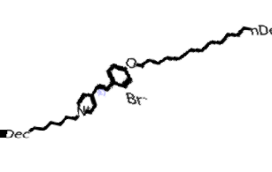 CCCCCCCCCCCCCCCCCCCCCCOc1ccc(/C=C/c2cc[n+](CCCCCCCCCCCCCCCC)cc2)cc1.[Br-]